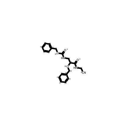 N#CCNC(=O)C(CNC(=O)OCc1ccccc1)OCc1ccccc1